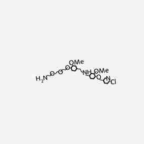 COc1cc(CCNCc2ccc(OCc3ccc(Cl)nc3)c(OC)c2)ccc1OCCOCCOCCN